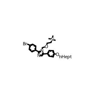 CCCCCCCOc1ccc(-c2cnc(-c3ccc(Br)cc3)n2COCC[Si](C)(C)C)cc1